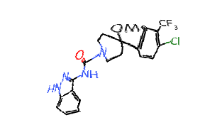 COC1(c2ccc(Cl)c(C(F)(F)F)c2)CCN(C(=O)Nc2n[nH]c3ccccc23)CC1